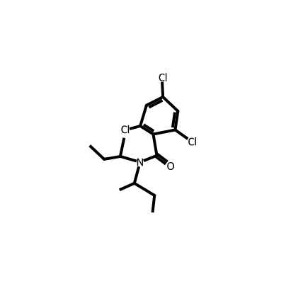 CCC(C)N(C(=O)c1c(Cl)cc(Cl)cc1Cl)C(C)CC